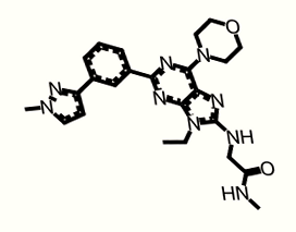 CCn1c(NCC(=O)NC)nc2c(N3CCOCC3)nc(-c3cccc(-c4ccn(C)n4)c3)nc21